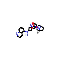 O=C(C1CC(Nc2cccc3ncccc23)C1)N1CC2CC[C@H](C1)N2c1ccncc1